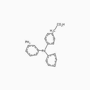 CC(=O)O.P.c1cc[c]([Pd]([c]2ccccc2)[c]2ccccc2)cc1